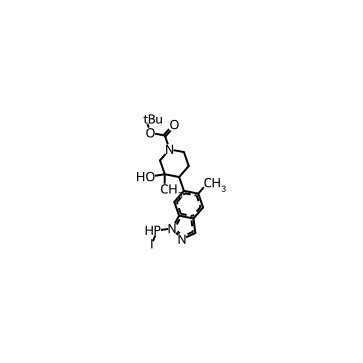 Cc1cc2cnn(PI)c2cc1C1CCN(C(=O)OC(C)(C)C)CC1(C)O